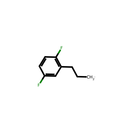 [CH2]CCc1cc(F)ccc1F